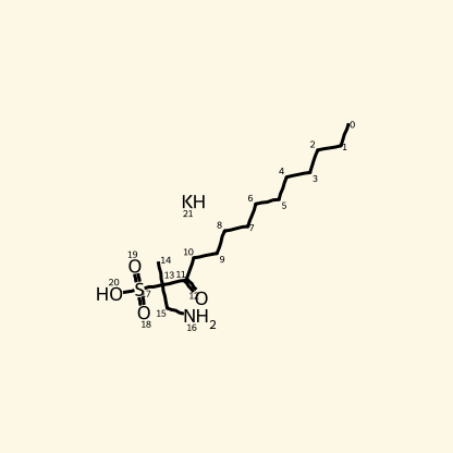 CCCCCCCCCCCC(=O)C(C)(CN)S(=O)(=O)O.[KH]